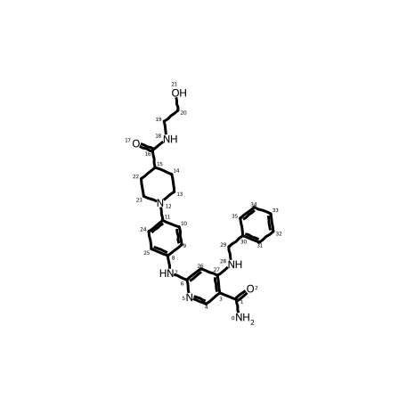 NC(=O)c1cnc(Nc2ccc(N3CCC(C(=O)NCCO)CC3)cc2)cc1NCc1ccccc1